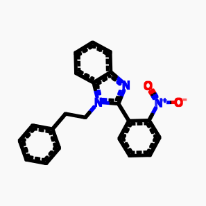 O=[N+]([O-])c1ccccc1-c1nc2ccccc2n1CCc1ccccc1